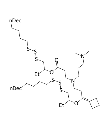 CCCCCCCCCCCCCCSSSCC(CC)OC(=O)CCN(CCCN(C)C)CCC(OC(CC)CSSSCCCCCCCCCCCCCC)=C1CCC1